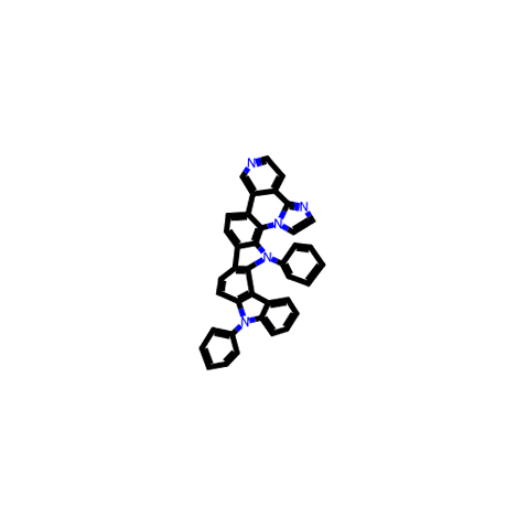 c1ccc(-n2c3ccccc3c3c2ccc2c4ccc5c6cnccc6c6nccn6c5c4n(-c4ccccc4)c23)cc1